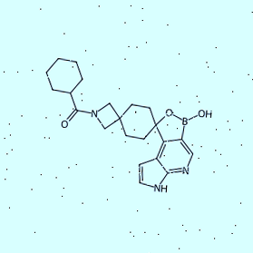 O=C(C1CCCCC1)N1CC2(CCC3(CC2)OB(O)c2cnc4[nH]ccc4c23)C1